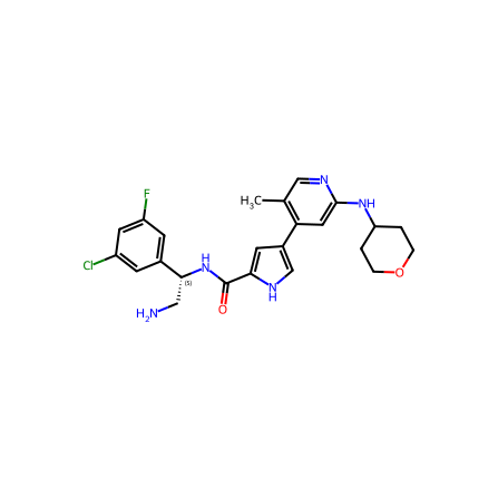 Cc1cnc(NC2CCOCC2)cc1-c1c[nH]c(C(=O)N[C@H](CN)c2cc(F)cc(Cl)c2)c1